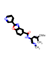 C=N/C=C(\C=C(/C)OC)NC(=O)c1ccc2oc(-c3cccnc3)nc2c1